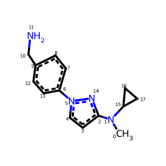 CN(c1ccn(-c2ccc(CN)cc2)n1)C1CC1